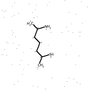 CC(N)CCC[CH](C)[Sn]